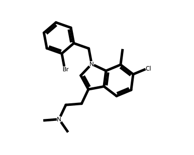 Cc1c(Cl)ccc2c(CCN(C)C)cn(Cc3ccccc3Br)c12